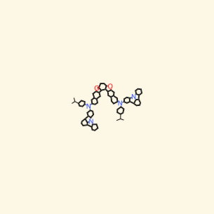 CC(C)c1ccc(N(c2ccc3cc4c(cc3c2)oc2ccc3oc5cc6cc(N(c7ccc(C(C)C)cc7)c7ccc8c(c7)c7cccc9c%10ccccc%10n8c97)ccc6cc5c3c24)c2ccc3c(c2)c2cccc4c5ccccc5n3c42)cc1